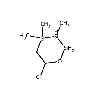 C[SiH]1[SiH2]OC(Cl)C[Si]1(C)C